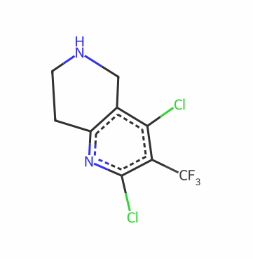 FC(F)(F)c1c(Cl)nc2c(c1Cl)CNCC2